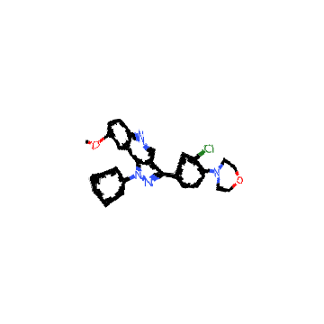 COc1ccc2ncc3c(-c4ccc(N5CCOCC5)c(Cl)c4)nn(-c4ccccc4)c3c2c1